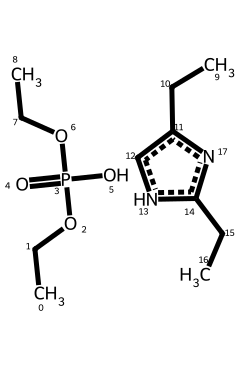 CCOP(=O)(O)OCC.CCc1c[nH]c(CC)n1